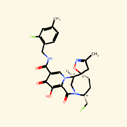 CC1=NO[C@@]2(CC[C@H](CF)N3C[C@H]2n2cc(C(=O)NCc4ccc(C)cc4F)c(=O)c(O)c2C3=O)C1